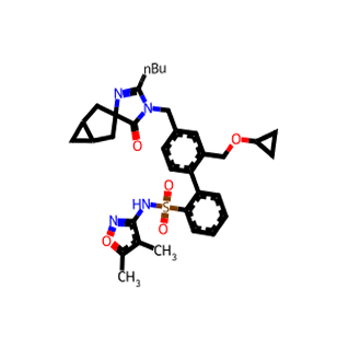 CCCCC1=NC2(CC3CC3C2)C(=O)N1Cc1ccc(-c2ccccc2S(=O)(=O)Nc2noc(C)c2C)c(COC2CC2)c1